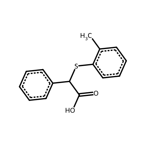 Cc1ccccc1SC(C(=O)O)c1ccccc1